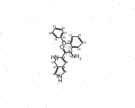 NN(C(=O)C1=Cc2c[nH]cc2CN1)c1ccccc1Oc1ccccc1